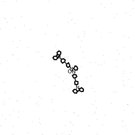 O=c1n(-c2ccc(-c3ccc(-n4c5ccccc5c5ccccc54)cc3)cc2)c2ccccc2n1-c1ccc(-c2ccc(-n3c4ccccc4c4ccccc43)cc2)cc1